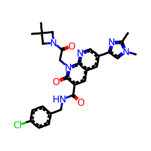 Cc1nc(-c2cnc3c(c2)cc(C(=O)NCc2ccc(Cl)cc2)c(=O)n3CC(=O)N2CC(C)(C)C2)cn1C